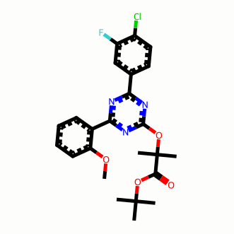 COc1ccccc1-c1nc(OC(C)(C)C(=O)OC(C)(C)C)nc(-c2ccc(Cl)c(F)c2)n1